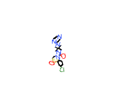 O=C(N1CC2(C1)CN(c1cnccn1)C2)N1CC[S+]([O-])c2cc(Cl)ccc21